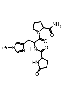 CC(C)n1cnc(CC(NC(=O)C2CCC(=O)N2)C(=O)N2CCCC2C(N)=O)c1